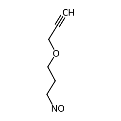 C#CCOCCCN=O